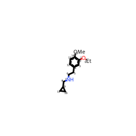 CCOc1cc(CCNCC2CC2)ccc1OC